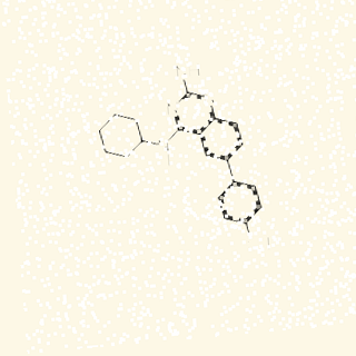 Nc1nc(NC2CCCCC2)c2cc(-c3ccc(C=O)cc3)ccc2n1